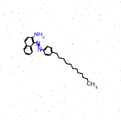 CCCCCCCCCCCCc1ccc(N=Nc2c(N)ccc3ccccc23)cc1